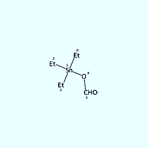 C[CH2][Sn]([CH2]C)([CH2]C)[O][C]=O